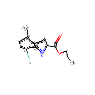 CCOC(=O)c1cc2c(C)ccc(F)c2[nH]1